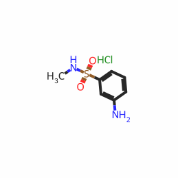 CNS(=O)(=O)c1cccc(N)c1.Cl